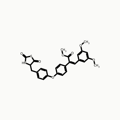 COC(=O)C(=Cc1cc(OC)cc(OC)c1)c1ccc(Oc2ccc(CC3NC(=O)SC3=O)cc2)cc1